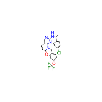 CC(Nc1ncc2ccc(=O)n(Cc3ccc(OC(F)(F)F)cc3)c2n1)c1ccc(Cl)cc1